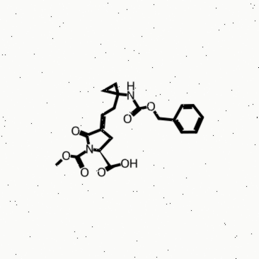 COC(=O)N1C(=O)/C(=C/CC2(NC(=O)OCc3ccccc3)CC2)C[C@H]1C(=O)O